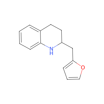 c1coc(CC2CCc3ccccc3N2)c1